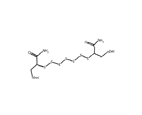 CCCCCCCCCCCC(SSSSSSSC(CCCCCCCCCCC)C(N)=O)C(N)=O